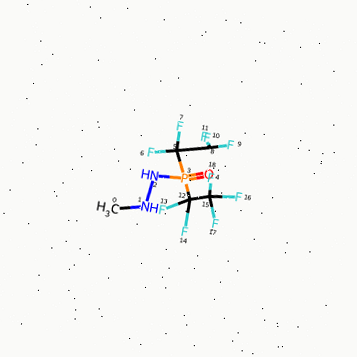 CNNP(=O)(C(F)(F)C(F)(F)F)C(F)(F)C(F)(F)F